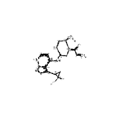 C=CC(=O)N1CC(Nc2ccnc3[nH]cc(C4CC4(F)F)c23)CCC1C